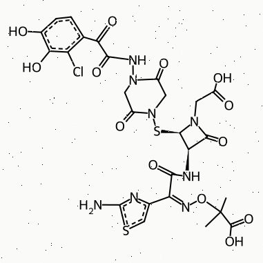 CC(C)(O/N=C(\C(=O)N[C@@H]1C(=O)N(CC(=O)O)[C@@H]1SN1CC(=O)N(NC(=O)C(=O)c2ccc(O)c(O)c2Cl)CC1=O)c1csc(N)n1)C(=O)O